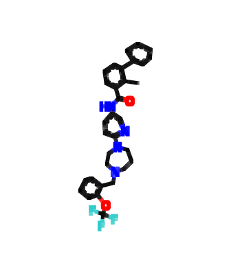 Cc1c(C(=O)Nc2ccc(N3CCCN(Cc4ccccc4OC(F)(F)F)CC3)nc2)cccc1-c1ccccc1